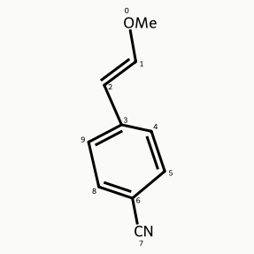 COC=Cc1ccc(C#N)cc1